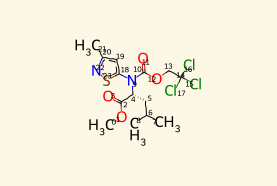 COC(=O)[C@@H](CC(C)C)N(C(=O)OCC(Cl)(Cl)Cl)c1cc(C)ns1